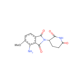 COc1ccc2c(c1N)C(=O)N(C1CCC(=O)NC1=O)C2=O